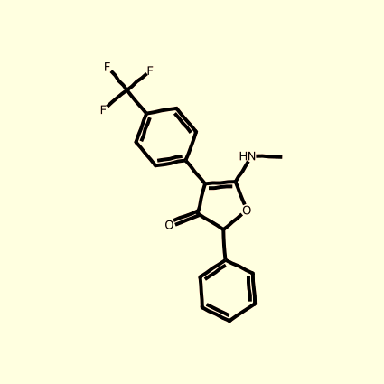 CNC1=C(c2ccc(C(F)(F)F)cc2)C(=O)C(c2ccccc2)O1